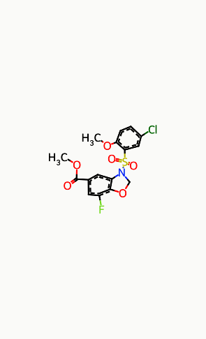 COC(=O)c1cc(F)c2c(c1)N(S(=O)(=O)c1cc(Cl)ccc1OC)CO2